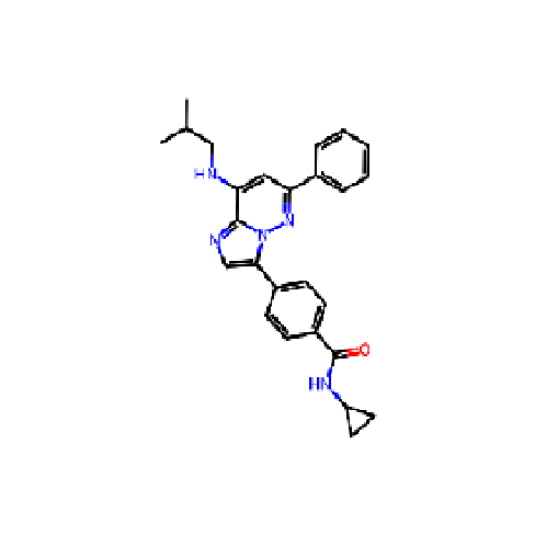 CC(C)CNc1cc(-c2ccccc2)nn2c(-c3ccc(C(=O)NC4CC4)cc3)cnc12